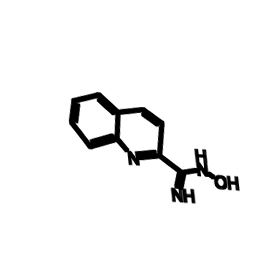 N=C(NO)c1ccc2ccccc2n1